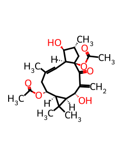 C=C1C(=O)[C@@]2(OC(C)=O)C[C@@H](C)[C@H](O)[C@@H]2/C=C(\C)C[C@@H](OC(C)=O)[C@H]2[C@@H]([C@H]1O)C2(C)C